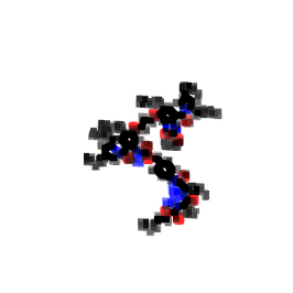 C=CCOC(=O)N[C@H](C(=O)N[C@@H](C)C(=O)Nc1ccc(COC(=O)Nc2cc(OCCCOc3cc(NC(=O)OC(C)(C)C)c(C(=O)N4CC(=C)C[C@H]4COC(C)=O)cc3OC)c(OC)cc2C(=O)N2CC(=C)C[C@H]2COC(C)=O)cc1)C(C)C